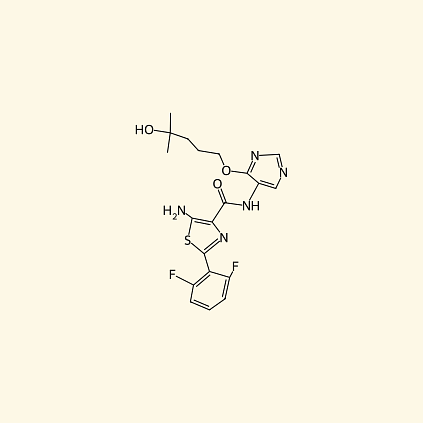 CC(C)(O)CCCOc1ncncc1NC(=O)c1nc(-c2c(F)cccc2F)sc1N